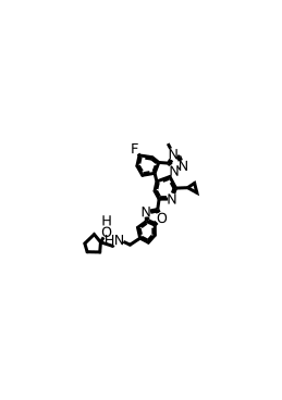 Cn1cnnc1-c1cc(F)ccc1-c1cc(-c2nc3cc(CNCC4(O)CCCC4)ccc3o2)nc(C2CC2)c1